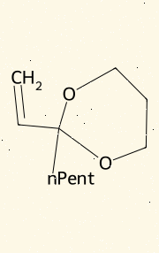 C=CC1(CCCCC)OCCCO1